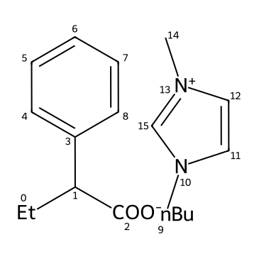 CCC(C(=O)[O-])c1ccccc1.CCCCn1cc[n+](C)c1